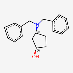 O[C@@H]1CC[C@H](N(Cc2ccccc2)Cc2ccccc2)C1